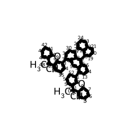 CC1(C)c2ccccc2Oc2c(-c3cccc4c(-c5cccc6ccccc56)c5cccc(-c6cccc7c6Oc6ccccc6C7(C)C)c5cc34)cccc21